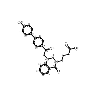 O=C(O)CCCN1NN(CC(=O)c2ccc(-c3ccc(Cl)cc3)cc2)c2ccccc2C1=O